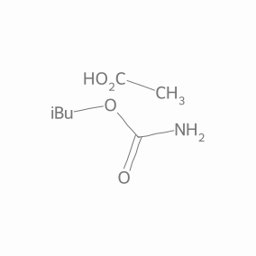 CC(=O)O.CCC(C)OC(N)=O